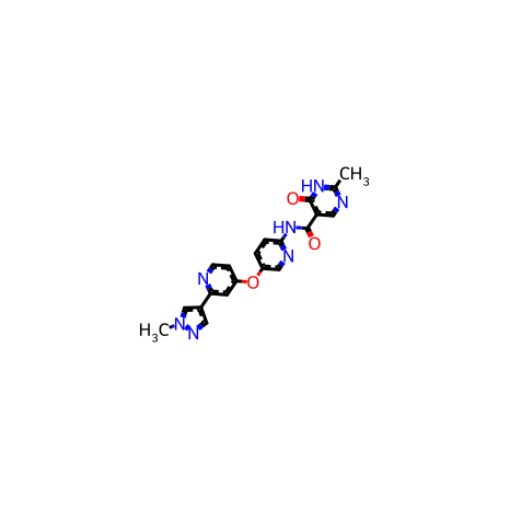 Cc1ncc(C(=O)Nc2ccc(Oc3ccnc(-c4cnn(C)c4)c3)cn2)c(=O)[nH]1